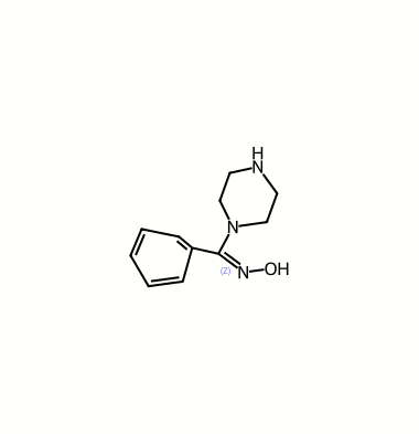 O/N=C(/c1ccccc1)N1CCNCC1